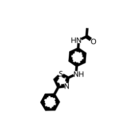 CC(=O)Nc1ccc(Nc2nc(-c3ccccc3)cs2)cc1